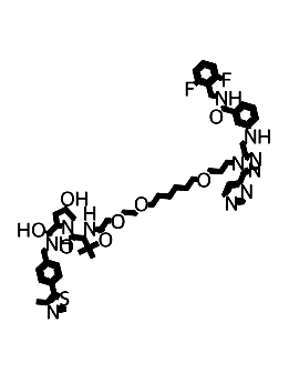 Cc1ncsc1-c1ccc(CN[C@@H](O)C2C[C@@H](O)CN2C(=O)[C@@H](NC(=O)COCCOCCCCCCOCCCn2c(CNc3cccc(C(=O)NCc4c(F)cccc4F)c3)nnc2-c2ccncn2)C(C)(C)C)cc1